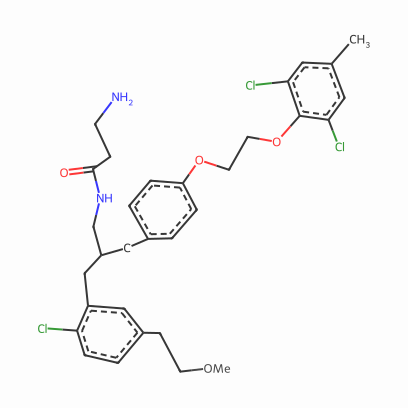 COCCc1ccc(Cl)c(CC(CNC(=O)CCN)Cc2ccc(OCCOc3c(Cl)cc(C)cc3Cl)cc2)c1